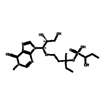 CCC(O)P(=O)(O)OC(C)(CC)CCO[C@H]([C@H](O)CO)n1cnc2c(=N)n(C)cnc21